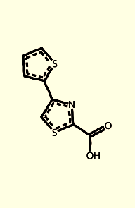 O=C(O)c1nc(-c2cccs2)cs1